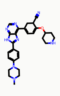 CN1CCN(c2ccc(-c3nc4c(C5=CC=C(OC6CCNCC6)C(C#N)C5)ncnc4[nH]3)cc2)CC1